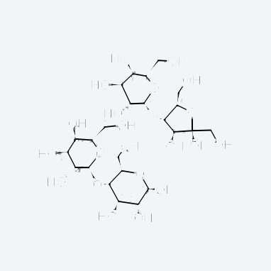 OC[C@H]1O[C@@H](O[C@@H]2[C@@H](CO)O[C@](O)(CO)[C@H]2O)[C@H](O)[C@@H](O)[C@H]1O.OC[C@H]1O[C@@H](O[C@H]2[C@H](O)[C@@H](O)[C@H](O)O[C@@H]2CO)[C@H](O)[C@@H](O)[C@H]1O